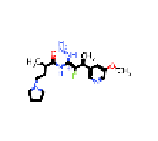 C=C(/C(F)=C(\NN)NC(=O)C(C)CCN1CCCC1)c1cncc(OC)c1